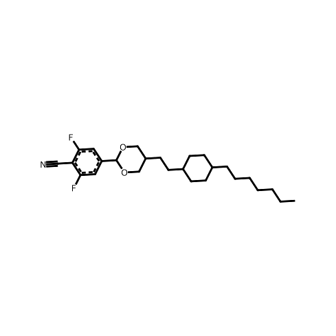 CCCCCCCC1CCC(CCC2COC(c3cc(F)c(C#N)c(F)c3)OC2)CC1